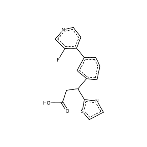 O=C(O)CC(c1cccc(-c2ccncc2F)c1)c1nccs1